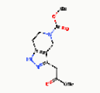 COC(=O)Cc1n[nH]c2c1CN(C(=O)OC(C)(C)C)CC2